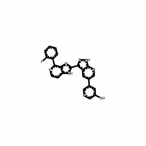 Oc1cncc(-c2cnc3[nH]nc(-c4nc5c(-c6ccccc6F)nccc5[nH]4)c3c2)c1